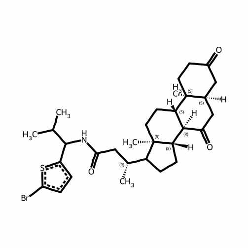 CC(C)C(NC(=O)C[C@@H](C)C1CC[C@H]2[C@@H]3C(=O)C[C@@H]4CC(=O)CC[C@]4(C)[C@H]3CC[C@]12C)c1ccc(Br)s1